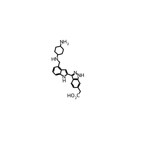 NC1CCC(NCc2cccc3[nH]c(-c4n[nH]c5cc(CC(=O)O)ccc45)cc23)CC1